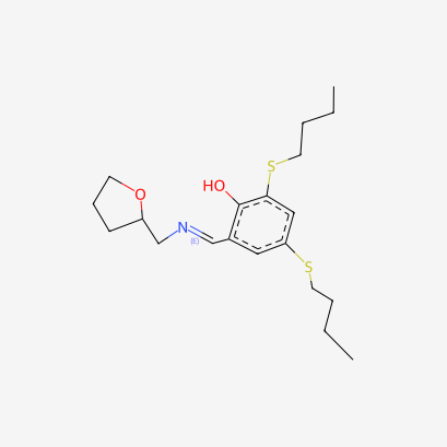 CCCCSc1cc(/C=N/CC2CCCO2)c(O)c(SCCCC)c1